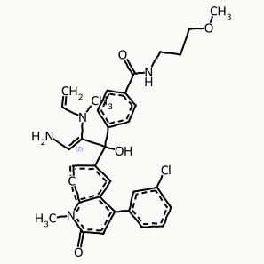 C=CN(C)/C(=C\N)C(O)(c1ccc(C(=O)NCCCOC)cc1)c1ccc2c(c1)c(-c1cccc(Cl)c1)cc(=O)n2C